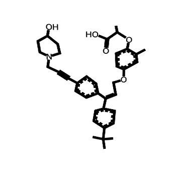 Cc1cc(OCC=C(c2ccc(C#CCN3CCC(O)CC3)cc2)c2ccc(C(C)(C)C)cc2)ccc1OC(C)C(=O)O